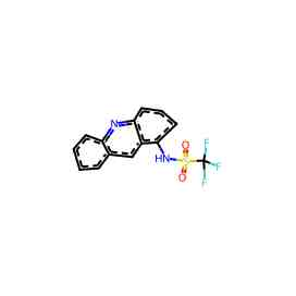 O=S(=O)(Nc1cccc2nc3ccccc3cc12)C(F)(F)F